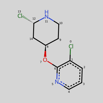 Clc1cccnc1O[C@@H]1CCN[C@@H](Cl)C1